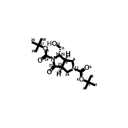 CC(C)(C)OC(=O)N1C[C@@H]2[C@@H](CO)N(C(=O)OC(C)(C)C)C(=O)[C@@H]2C1